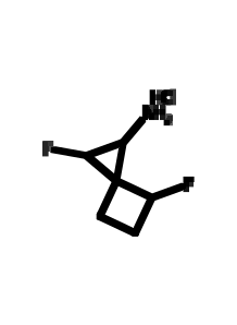 Cl.NC1C(F)C12CCC2F